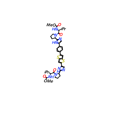 COC(=O)NC(C(=O)N1CCCC1c1ncc(-c2ccc(-c3cc4sc(-c5cnc(C6CCCN6C(=O)C(NC(=O)OC)C(C)C)[nH]5)cc4s3)cc2)[nH]1)C(C)C